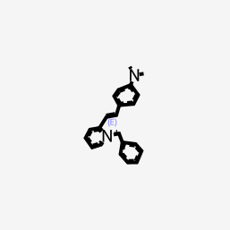 CN(C)c1ccc(/C=C/c2cccc[n+]2Cc2ccccc2)cc1